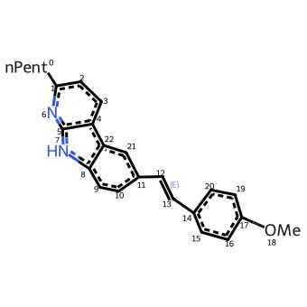 CCCCCc1ccc2c(n1)[nH]c1ccc(/C=C/c3ccc(OC)cc3)cc12